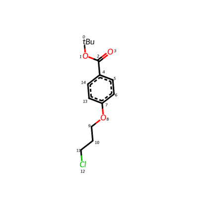 CC(C)(C)OC(=O)c1ccc(OCCCCl)cc1